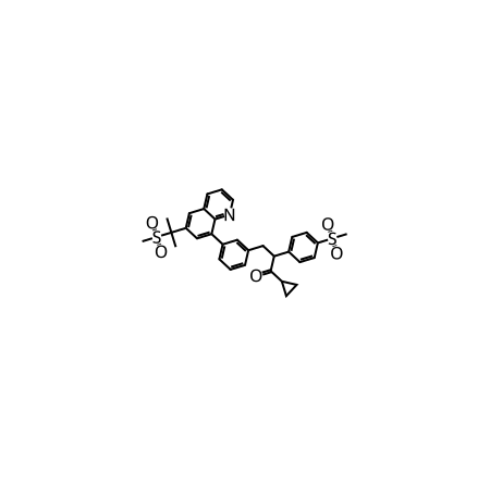 CC(C)(c1cc(-c2cccc(CC(C(=O)C3CC3)c3ccc(S(C)(=O)=O)cc3)c2)c2ncccc2c1)S(C)(=O)=O